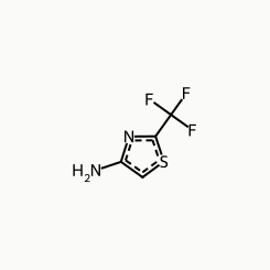 Nc1csc(C(F)(F)F)n1